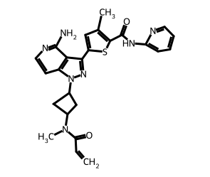 C=CC(=O)N(C)C1CC(n2nc(-c3cc(C)c(C(=O)Nc4ccccn4)s3)c3c(N)nccc32)C1